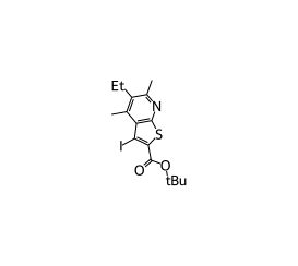 CCc1c(C)nc2sc(C(=O)OC(C)(C)C)c(I)c2c1C